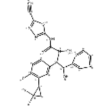 C#Cc1nnc(NC(=O)N(C)C(c2ccc(F)c(C3CC3(F)F)c2)C(O)c2ccccn2)s1